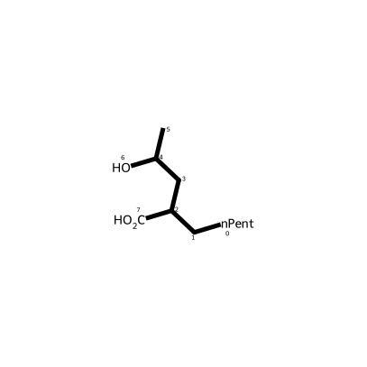 CCCCCCC(CC(C)O)C(=O)O